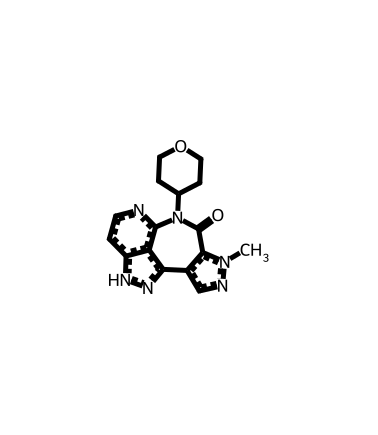 Cn1ncc2c1C(=O)N(C1CCOCC1)c1nccc3[nH]nc-2c13